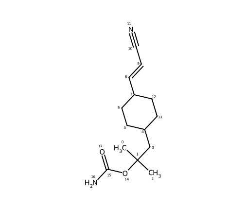 CC(C)(CC1CCC(C=CC#N)CC1)OC(N)=O